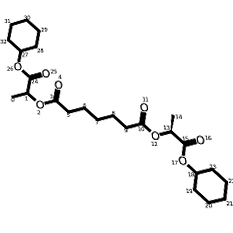 CC(OC(=O)CCCCCC(=O)O[C@@H](C)C(=O)OC1CCCCC1)C(=O)OC1CCCCC1